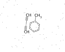 C#CC#C.Cc1ccccc1